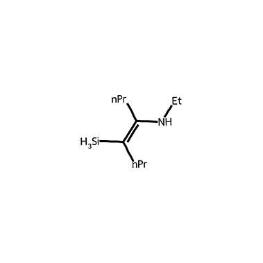 CCCC([SiH3])=C(CCC)NCC